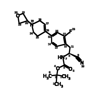 CC(C)(C)OC(=O)N[C@H](C#N)Cc1ccc(C2=CCN(C3COC3)CC2)cc1F